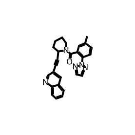 Cc1ccc(-n2nccn2)c(C(=O)N2CCCCC2C#Cc2cnc3ccccc3c2)c1